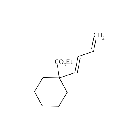 C=C/C=C/C1(C(=O)OCC)CCCCC1